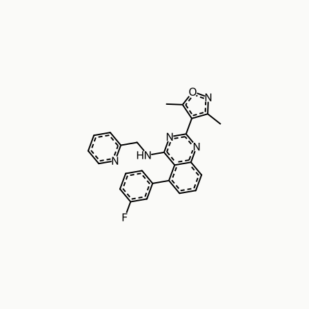 Cc1noc(C)c1-c1nc(NCc2ccccn2)c2c(-c3cccc(F)c3)cccc2n1